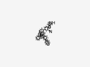 N#Cc1cc(-c2ccnc3c2cc(-c2ccc(N4CCOCC4)cc2)n3S(=O)(=O)c2ccccc2)ccc1O[C@H]1CCNC1